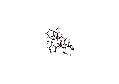 N=C/C(C(N)=O)=C(/N[C@@H]1C[C@H]2CC[C@@H](C1)N2c1ccc(N)cn1)c1ccc[nH]1